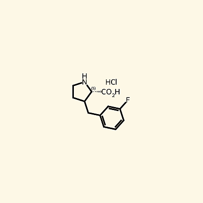 Cl.O=C(O)[C@H]1NCCC1Cc1cccc(F)c1